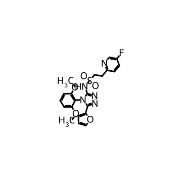 COc1cccc(OC)c1-n1c(NS(=O)(=O)CCc2ccc(F)cn2)nnc1-c1ccco1